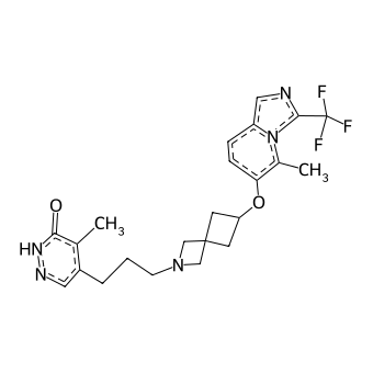 Cc1c(CCCN2CC3(CC(Oc4ccc5cnc(C(F)(F)F)n5c4C)C3)C2)cn[nH]c1=O